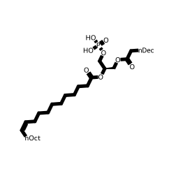 CCCCCCCC/C=C\CCCCCCCCCC(=O)O[C@H](COC(=O)CCCCCCCCCCC)COP(=O)(O)O